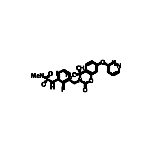 CNS(=O)(=O)Nc1nccc(CN2C(=O)Oc3cc(Oc4cccnn4)ccc3C2(C)C)c1F